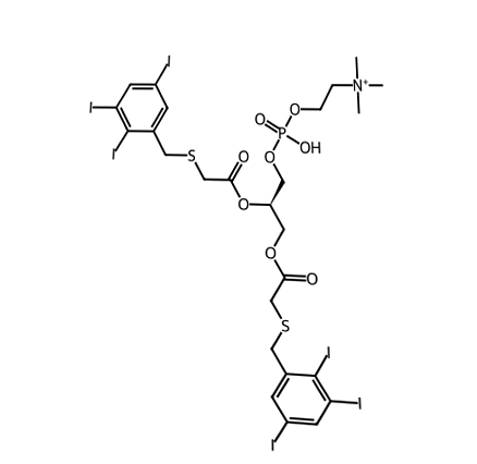 C[N+](C)(C)CCOP(=O)(O)OC[C@@H](COC(=O)CSCc1cc(I)cc(I)c1I)OC(=O)CSCc1cc(I)cc(I)c1I